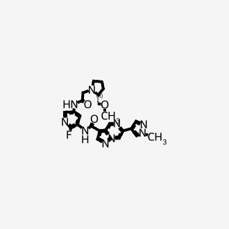 COC[C@H]1CCCN1CC(=O)Nc1cnc(F)c(NC(=O)c2cnn3cc(-c4cnn(C)c4)ncc23)c1